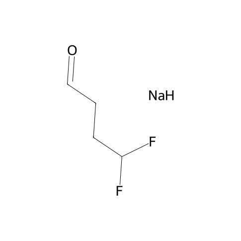 O=CCCC(F)F.[NaH]